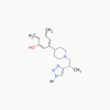 C=C/C=C(\C=C(\O)C=C)C1CCN(CC(C)c2cn(C(C)C)nn2)CC1